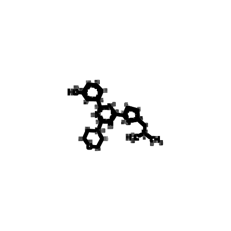 CN(C)Cc1ccc(-c2nc(-c3cccc(O)c3)nc(N3CCOCC3)n2)s1